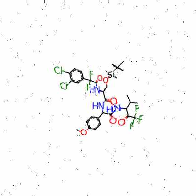 COc1ccc(C(NC(=O)C(CO[Si](C)(C)C(C)(C)C)NC(=O)C(F)(F)c2ccc(Cl)c(Cl)c2)C(=O)NC(C(=O)C(F)(F)F)C(C)C)cc1